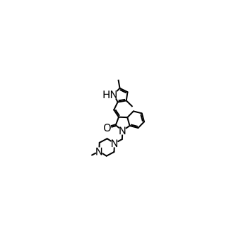 Cc1cc(C)c(C=C2C(=O)N(CN3CCN(C)CC3)C3=CC=CCC23)[nH]1